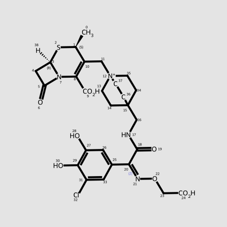 C[C@@H]1S[C@@H]2CC(=O)N2C(C(=O)O)=C1C[N+]12CCC(CNC(=O)/C(=N\OCC(=O)O)c3cc(O)c(O)c(Cl)c3)(CC1)CC2